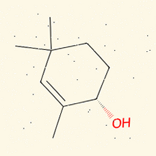 CC1=CC(C)(C)CC[C@@H]1O